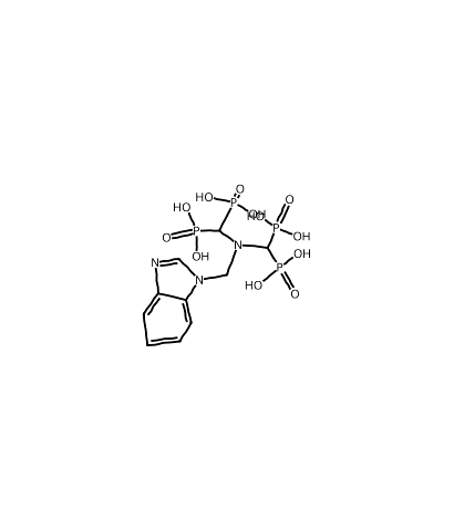 O=P(O)(O)C(N(Cn1cnc2ccccc21)C(P(=O)(O)O)P(=O)(O)O)P(=O)(O)O